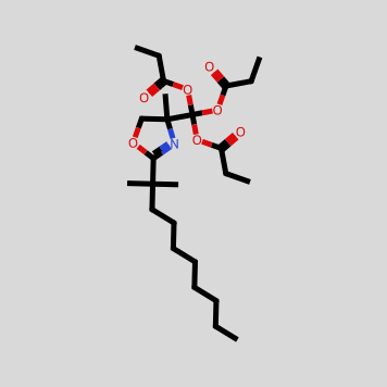 CCCCCCCCC(C)(C)C1=NC(C)(C(OC(=O)CC)(OC(=O)CC)OC(=O)CC)CO1